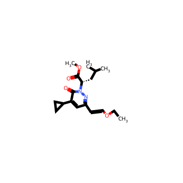 CCO/C=C/c1cc(C2CC2)c(=O)n([C@@H](CC(C)C)C(=O)OC)n1